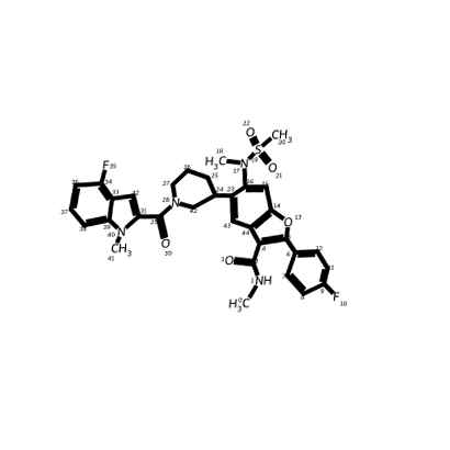 CNC(=O)c1c(-c2ccc(F)cc2)oc2cc(N(C)S(C)(=O)=O)c(C3CCCN(C(=O)c4cc5c(F)cccc5n4C)C3)cc12